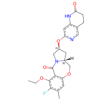 CCOc1c(F)c(C)cc2c1C(=O)N1C[C@@H](Oc3cc4c(cn3)CCC(=O)N4)C[C@@H]1CO2